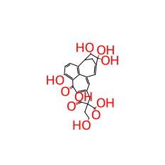 O=C(O)C(CCO)(Cc1cc2c3c(ccc(O)c3c(=O)c1)C1CC(=C2)C(O)(O)C1O)C(=O)O